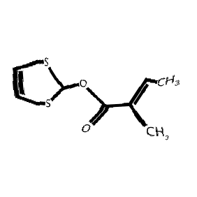 CC=C(C)C(=O)OC1SC=CS1